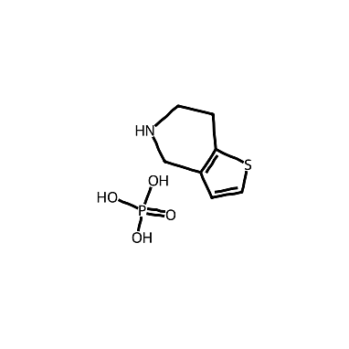 O=P(O)(O)O.c1cc2c(s1)CCNC2